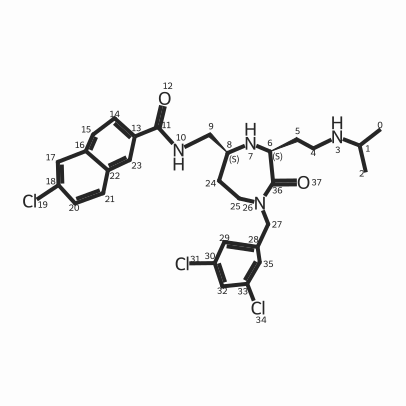 CC(C)NCC[C@@H]1N[C@H](CNC(=O)c2ccc3cc(Cl)ccc3c2)CCN(Cc2cc(Cl)cc(Cl)c2)C1=O